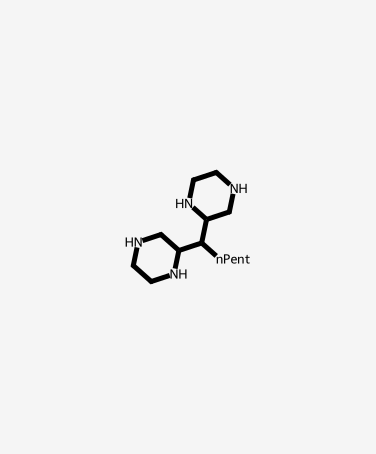 CCCCCC(C1CNCCN1)C1CNCCN1